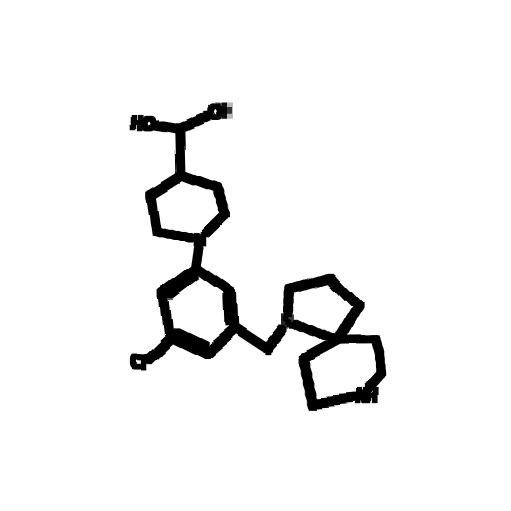 OC(O)C1CCN(c2cc(Cl)cc(CN3CCCC34CCNCC4)c2)CC1